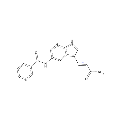 NC(=O)/C=C/c1c[nH]c2ncc(NC(=O)c3cccnc3)cc12